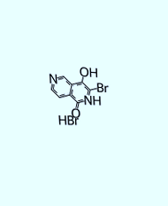 Br.O=c1[nH]c(Br)c(O)c2cnccc12